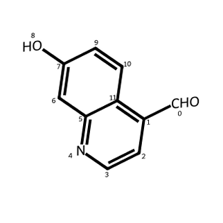 O=Cc1ccnc2cc(O)ccc12